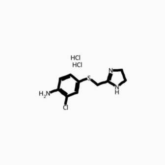 Cl.Cl.Nc1ccc(SCC2=NCCN2)cc1Cl